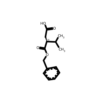 CC(C)[C@H](CC(=O)O)C(=O)OCc1ccccc1